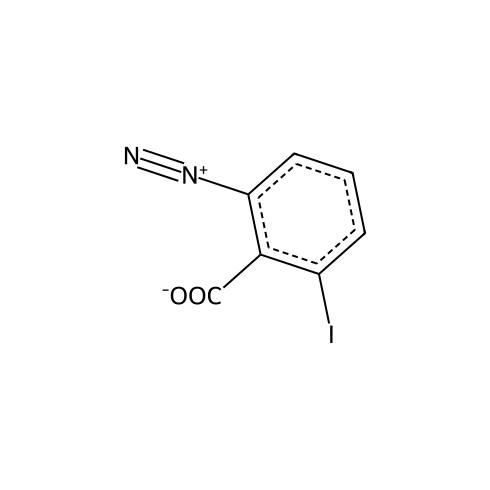 N#[N+]c1cccc(I)c1C(=O)[O-]